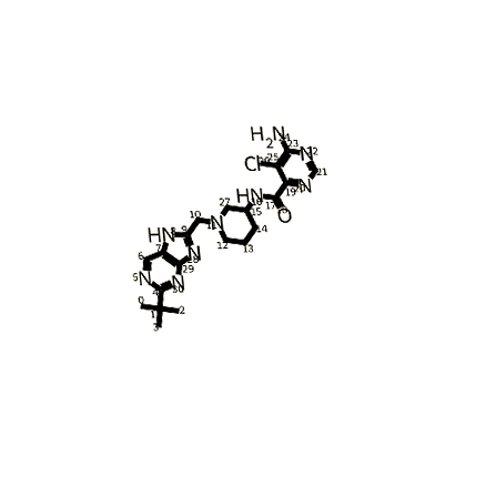 CC(C)(C)c1ncc2[nH]c(CN3CCCC(NC(=O)c4ncnc(N)c4Cl)C3)nc2n1